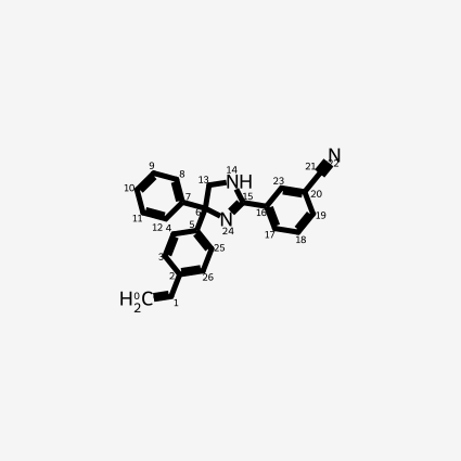 C=Cc1ccc(C2(c3ccccc3)CNC(c3cccc(C#N)c3)=N2)cc1